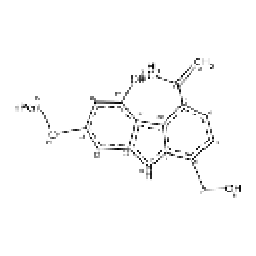 C=C(C)c1ccc(CO)c2[nH]c3cc(OCCCCC)cc(O)c3c12